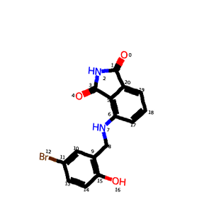 O=C1NC(=O)c2c(NCc3cc(Br)ccc3O)cccc21